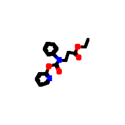 CCOC(=O)CCN(C(=O)Oc1ccccn1)c1ccccc1